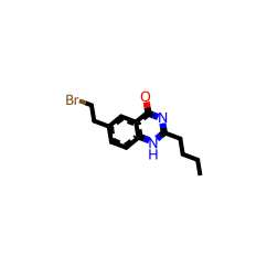 CCCCc1nc(=O)c2cc(CCBr)ccc2[nH]1